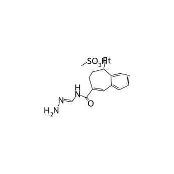 CCC1CCC(C(=O)NC=NN)=Cc2ccccc21.CS(=O)(=O)O